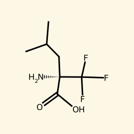 CC(C)C[C@](N)(C(=O)O)C(F)(F)F